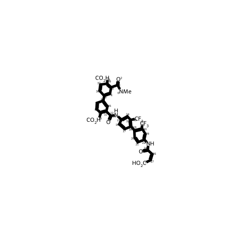 CNC(=O)c1cc(-c2ccc(C(=O)O)c(C(=O)Nc3ccc(-c4ccc(NC(=O)/C=C\C(=O)O)cc4C(F)(F)F)c(C(F)(F)F)c3)c2)ccc1C(=O)O